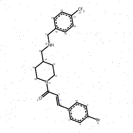 O=C(/C=C/c1ccc(Br)cc1)N1CCC(CNCc2ccc(C(F)(F)F)cc2)CC1